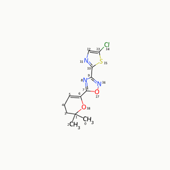 CC1(C)CCC=C(c2nc(-c3ncc(Cl)s3)no2)O1